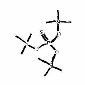 C[Si](C)(C)OP(=S)(O[Si](C)(C)C)O[Si](C)(C)C